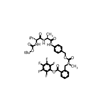 CC(C)[C@H](NC(=O)OC(C)(C)C)C(=O)N[C@@H](C)C(=O)Nc1ccc(COC(=O)N(C)Cc2ccccc2C(=O)Oc2c(F)c(F)c(F)c(F)c2F)cc1